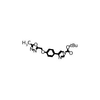 Cc1nnc(COc2ccc(-c3cn(C(=O)OC(C)(C)C)cn3)cc2)o1